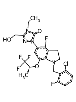 CCn1c(CO)nn(-c2cc(O[C@@H](C)C(F)(F)F)c3c(c2F)CCN3Cc2c(F)cccc2Cl)c1=O